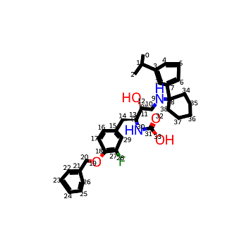 CC(C)c1cccc(C2(NC[C@@H](O)[C@H](Cc3ccc(OCc4ccccc4)c(F)c3)NC(=O)O)CCCCC2)c1